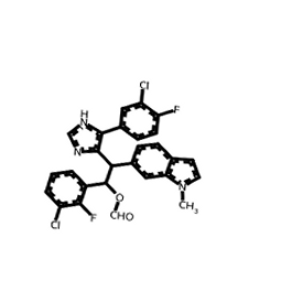 Cn1ccc2ccc(C(c3nc[nH]c3-c3ccc(F)c(Cl)c3)C(OC=O)c3cccc(Cl)c3F)cc21